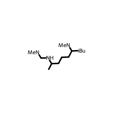 CCC(C)C(CCCC(C)NCNC)NC